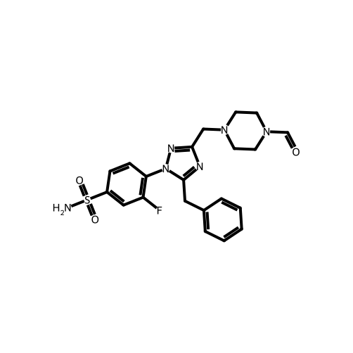 NS(=O)(=O)c1ccc(-n2nc(CN3CCN(C=O)CC3)nc2Cc2ccccc2)c(F)c1